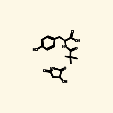 CC(C)(C)C(=O)N[C@@H](Cc1ccc(O)cc1)C(=O)O.O=C1CC(O)C(=O)N1